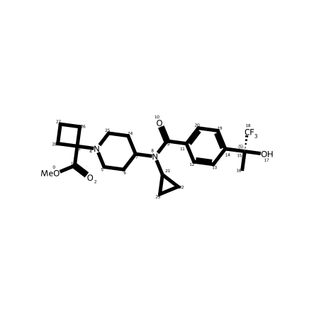 COC(=O)C1(N2CCC(N(C(=O)c3ccc([C@](C)(O)C(F)(F)F)cc3)C3CC3)CC2)CCC1